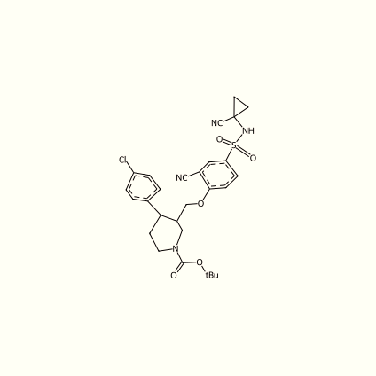 CC(C)(C)OC(=O)N1CCC(c2ccc(Cl)cc2)C(COc2ccc(S(=O)(=O)NC3(C#N)CC3)cc2C#N)C1